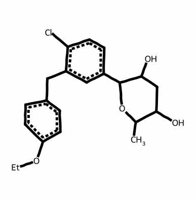 CCOc1ccc(Cc2cc(C3OC(C)C(O)CC3O)ccc2Cl)cc1